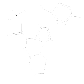 CC(C)(C)OC(=O)N(CC1CCCCC1)c1nc(-c2cc(F)ncc2Cl)cs1